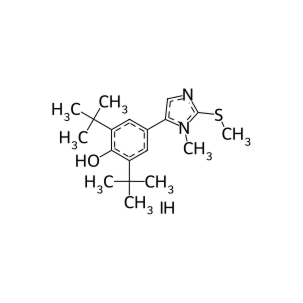 CSc1ncc(-c2cc(C(C)(C)C)c(O)c(C(C)(C)C)c2)n1C.I